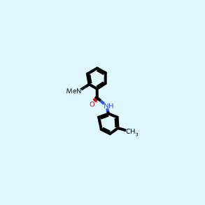 CNc1ccccc1C(=O)Nc1cccc(C)c1